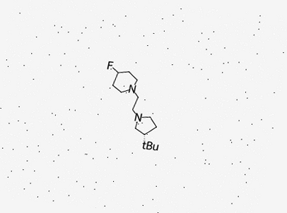 CC(C)(C)[C@H]1CCN(CCN2CCC(F)CC2)C1